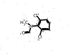 CN(C=O)c1c(Cl)cccc1Cl